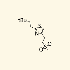 CC(C)(C)CCc1nc(CCS(C)(=O)=O)cs1